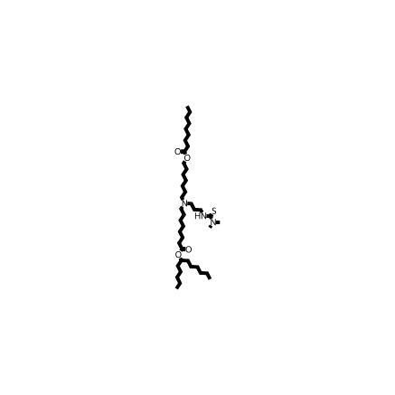 CCCCCCCCC(=O)OCCCCCCCN(CCCCCCCC(=O)OC(CCCCC)CCCCCC)CCCNC(=S)N(C)C